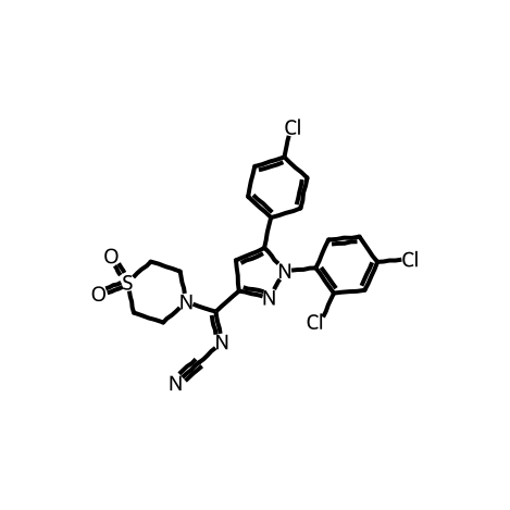 N#CN=C(c1cc(-c2ccc(Cl)cc2)n(-c2ccc(Cl)cc2Cl)n1)N1CCS(=O)(=O)CC1